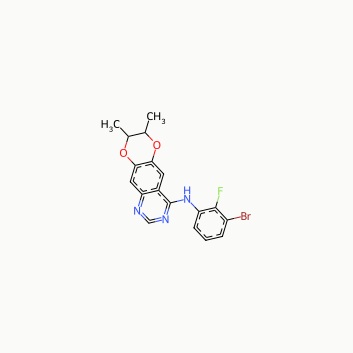 CC1Oc2cc3ncnc(Nc4cccc(Br)c4F)c3cc2OC1C